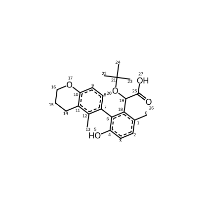 Cc1ccc(O)c(-c2ccc3c(c2C)CCCO3)c1C(OC(C)(C)C)C(=O)O